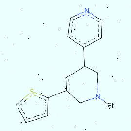 CCN1CC(c2cccs2)=CC(c2ccncc2)C1